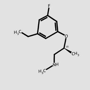 CCc1cc(F)cc(O[C@@H](C)CNC)c1